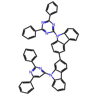 c1ccc(-c2cc(-n3c4ccccc4c4ccc(-c5ccc6c(c5)c5ccccc5n6-c5nc(-c6ccccc6)nc(-c6ccccc6)n5)cc43)nc(-c3ccccc3)n2)cc1